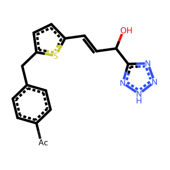 CC(=O)c1ccc(Cc2ccc(C=CC(O)c3nn[nH]n3)s2)cc1